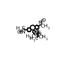 CC(C)c1nnc(C2(C[C@@H](C)N)c3ccc(C(C)N=C=O)cc3CCc3cc(C(C)N=C=O)ccc32)o1